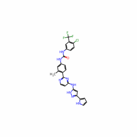 Cc1cc(NC(=O)Nc2ccc(Cl)c(C(F)(F)F)c2)ccc1-c1nccc(Nc2cc(-c3ccc[nH]3)n[nH]2)n1